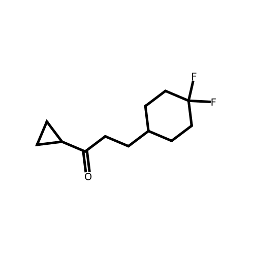 O=C(CCC1CCC(F)(F)CC1)C1CC1